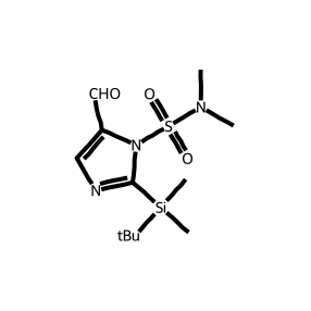 CN(C)S(=O)(=O)n1c(C=O)cnc1[Si](C)(C)C(C)(C)C